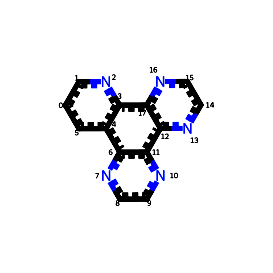 c1cnc2c(c1)c1nccnc1c1nccnc21